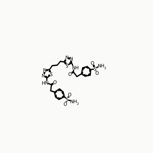 NS(=O)(=O)c1ccc(CC(=O)Nc2nnc(CCCc3nnc(NC(=O)Cc4ccc(S(N)(=O)=O)cc4)s3)s2)cc1